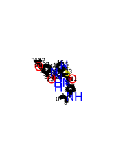 C=CC(=C)NC1CCC(NC(=O)c2sc3nccc4c3c2NC(=O)N4c2ccc(OC(C)C)cc2C)C1